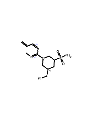 C=C/C=N\C(=N/C)N1CC(S(N)(=O)=O)C[C@@H](OC(C)C)C1